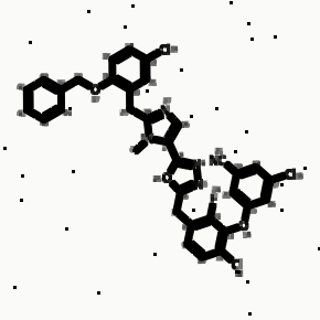 Cn1c(-c2nnc(Cc3ccc(Cl)c(Oc4cc(Cl)cc(C#N)c4)c3F)o2)cnc1Cc1cc(Cl)ccc1OCc1ccccc1